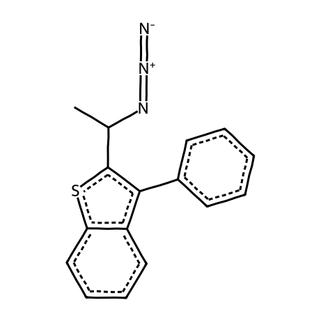 CC(N=[N+]=[N-])c1sc2ccccc2c1-c1ccccc1